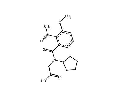 COc1cccc(C(=O)N(CC(=O)O)C2CCCC2)c1C(C)=O